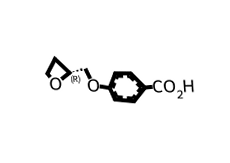 O=C(O)c1ccc(OC[C@H]2CCO2)cc1